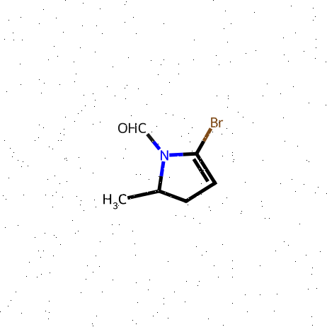 CC1CC=C(Br)N1C=O